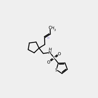 C/C=C/CC1(CNS(=O)(=O)c2cccs2)CCCC1